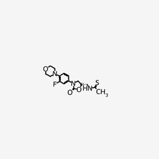 CC(=S)NC[C@H]1CN(c2ccc(N3CCOCC3)c(F)c2)C(=O)O1